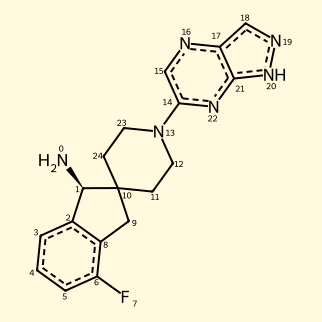 N[C@@H]1c2cccc(F)c2CC12CCN(c1cnc3cn[nH]c3n1)CC2